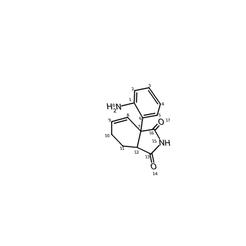 Nc1ccccc1C12C=CCCC1C(=O)NC2=O